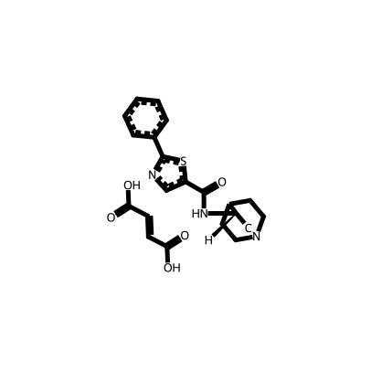 O=C(N[C@H]1CN2CCC1CC2)c1cnc(-c2ccccc2)s1.O=C(O)/C=C/C(=O)O